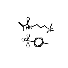 C=C(C)C(=O)NCCC[N+](C)(C)C.Cc1ccc(S(=O)(=O)[O-])cc1